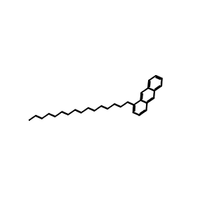 CCCCCCCCCCCCCCCCc1cccc2cc3ccccc3cc12